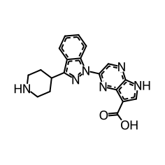 O=C(O)c1c[nH]c2ncc(-n3nc(C4CCNCC4)c4ccccc43)nc12